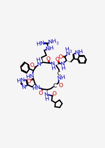 N=C(N)NCCC[C@@H]1NC(=O)C(c2ccccc2)NC(=O)[C@H](Cc2c[nH]cn2)NC(=O)[C@@H](NC(=O)CC2CCCC2)CCC(=O)NCC[C@@H](C(=O)N[C@@H](Cc2c[nH]c3ccccc23)C(N)=O)NC1=O